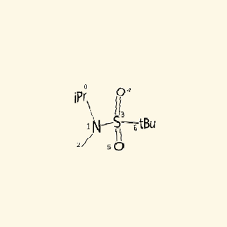 CC(C)N(C)S(=O)(=O)C(C)(C)C